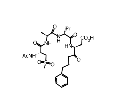 CC(=O)N[C@@H](CS(C)(=O)=O)C(=O)N[C@@H](C)C(=O)N[C@H](C(=O)N[C@@H](CC(=O)O)C(=O)CCCc1ccccc1)C(C)C